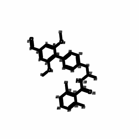 COc1cc(C=O)cc(OC)c1-c1ccc(CC(C)NC(=O)c2c(C)cccc2C)cc1